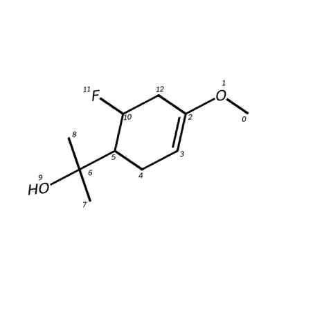 COC1=CCC(C(C)(C)O)C(F)C1